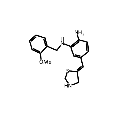 COc1ccccc1CNc1cc(C=C2CNCS2)ccc1N